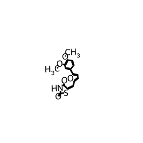 COc1ccc(-c2ccc(C=C3SC(=O)NC3=O)o2)cc1OC